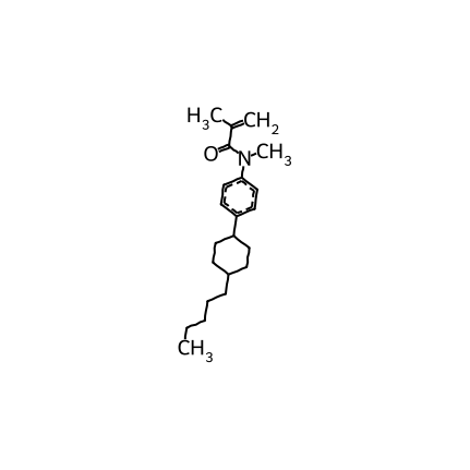 C=C(C)C(=O)N(C)c1ccc(C2CCC(CCCCC)CC2)cc1